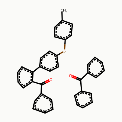 Cc1ccc(Sc2ccc(-c3ccccc3C(=O)c3ccccc3)cc2)cc1.O=C(c1ccccc1)c1ccccc1